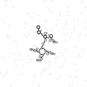 Cc1c(/C=C/c2cc(OCCOCCN3CCN(CC(=O)OC(C)(C)C)CCN(CC(=O)OC(C)(C)C)CCN(CC(=O)OC(C)(C)C)CC3)c(CN3CCCC[C@@H]3C(=O)OC(C)(C)C)cc2C(F)(F)F)cccc1-c1ccccc1